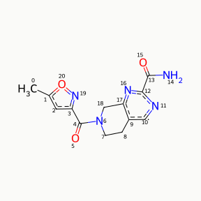 Cc1cc(C(=O)N2CCc3[c]nc(C(N)=O)nc3C2)no1